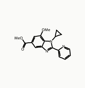 COC(=O)c1cc(OC)c2c(c1)nc(-c1ccccn1)n2C1CC1